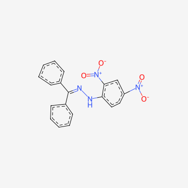 O=[N+]([O-])c1ccc(NN=C(c2ccccc2)c2ccccc2)c([N+](=O)[O-])c1